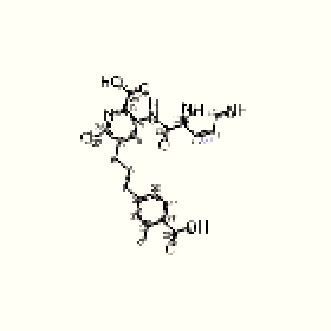 Cc1cc(CCCc2cc(NC(=O)C(=N)/C=C\C=N)c(C(=O)O)nc2Cl)ccc1C(=O)O